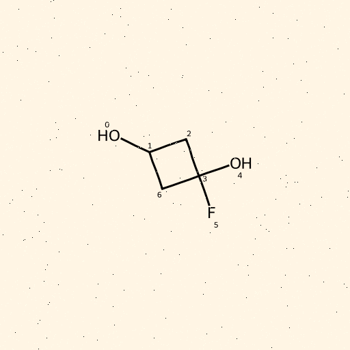 OC1CC(O)(F)C1